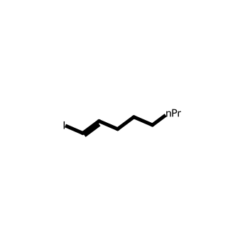 CCCCCCC=CI